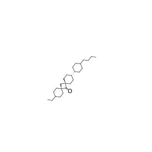 CCCCC1CCC([C@H]2CC[C@]3(CC2)C[C@@]2(CCC(CC)CC2)C3=O)CC1